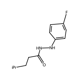 [CH2]C(C)CCC(=O)NNc1ccc(F)cc1